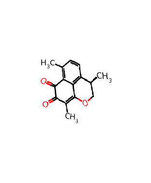 CC1=C2OCC(C)c3ccc(C)c(c32)C(=O)C1=O